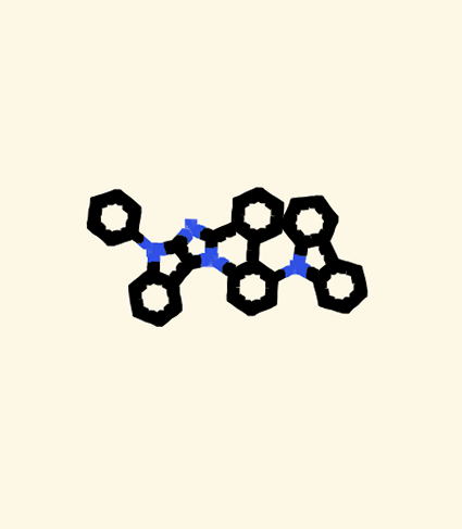 c1ccc(-n2c3ccccc3c3c2nc2c4ccccc4c4c(-n5c6ccccc6c6ccccc65)cccc4n23)cc1